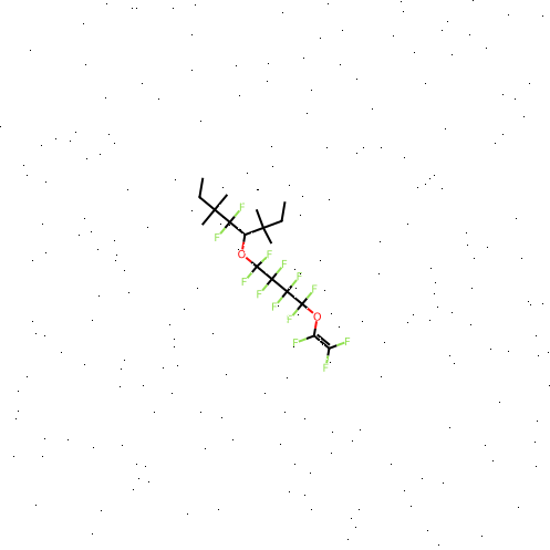 CCC(C)(C)C(OC(F)(F)C(F)(F)C(F)(F)C(F)(F)OC(F)=C(F)F)C(F)(F)C(C)(C)CC